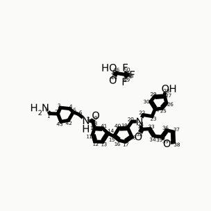 NCC1CCC(CNC(=O)c2cccc(-c3cccc(CN(CCc4ccc(O)cc4)C(=O)/C=C/c4ccco4)c3)c2)CC1.O=C(O)C(F)(F)F